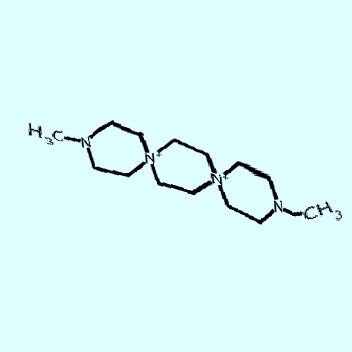 CN1CC[N+]2(CC1)CC[N+]1(CCN(C)CC1)CC2